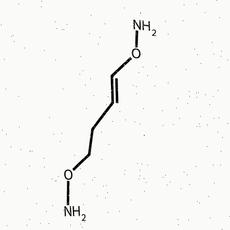 NOC=CCCON